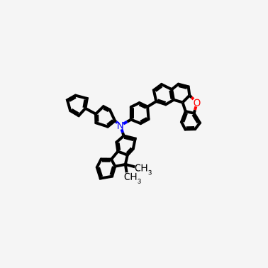 CC1(C)c2ccccc2-c2cc(N(c3ccc(-c4ccccc4)cc3)c3ccc(-c4ccc5c(c4)C4c6ccccc6OC4C=C5)cc3)ccc21